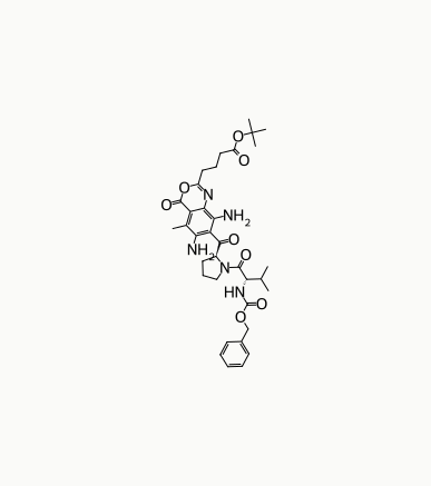 Cc1c(N)c(C(=O)[C@@H]2CCCN2C(=O)[C@@H](NC(=O)OCc2ccccc2)C(C)C)c(N)c2nc(CCCC(=O)OC(C)(C)C)oc(=O)c12